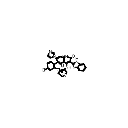 O=c1[nH]c2cc(-n3ccnc3)c(-c3ccc(Cl)cc3Cl)cc2c(N[C@H]2CN3CCC2CC3)c1-c1nc2ccccc2[nH]1